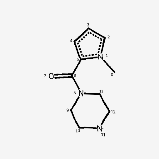 Cn1cccc1C(=O)N1CC[N]CC1